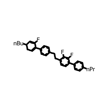 CCCCC1C=C(F)C(c2ccc(CCc3ccc(-c4ccc(CCC)cc4)c(F)c3F)cc2)=CC1